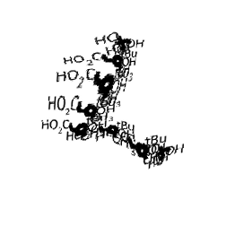 Cc1cc(CCC(=O)O)cc(C(C)(C)C)c1O.Cc1cc(CCC(=O)O)cc(C(C)(C)C)c1O.Cc1cc(CCC(=O)O)cc(C(C)(C)C)c1O.Cc1cc(CCC(=O)O)cc(C(C)(C)C)c1O.Cc1cc(CCC(=O)O)cc(C(C)(C)C)c1O.Cc1cc(CCC(=O)O)cc(C(C)(C)C)c1O.OCC(CO)(CO)CO.OCC(CO)(CO)CO